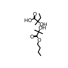 CCC(C)(O)C(=O)O.CCCCOC(=O)C(C)(C)O